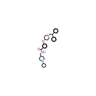 O=C(NCC1CCN(C2CCCC2)CC1)c1cccc(OC2CCN(CC(c3ccccc3)c3ccccc3)CC2)c1